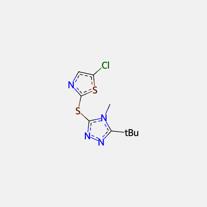 Cn1c(Sc2ncc(Cl)s2)nnc1C(C)(C)C